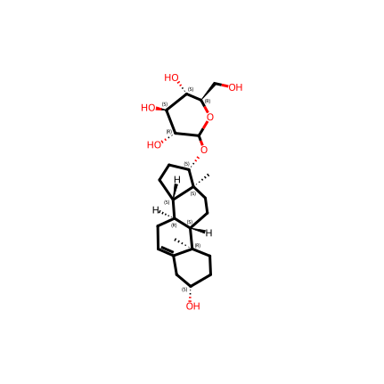 C[C@]12CC[C@H]3[C@@H](CC=C4C[C@@H](O)CC[C@@]43C)[C@@H]1CC[C@@H]2OC1O[C@H](CO)[C@@H](O)[C@H](O)[C@H]1O